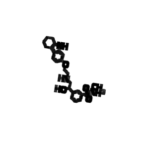 CNS(=O)(=O)c1cccc(C(O)CNCCOc2ccc3c4c([nH]c3c2)CCCC4)c1